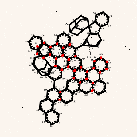 C1=CC(c2ccccc2)C(c2ccccc2-c2ccccc2N(c2ccc(C3=C4C5=C(C=C[C@H]43)c3ccccc3C53C4CC5CC(C4)CC3C5)cc2)c2ccc(-c3ccc4c(ccc5ccccc54)c3)cc2)C=C1c1ccc(-c2ccccc2-c2ccccc2N(c2ccc(-c3ccc4c(c3)C3(c5ccccc5-4)C4CCC5CC(C4)CC3C5)cc2)c2cccc3c2ccc2ccccc23)c(-c2ccccc2)c1